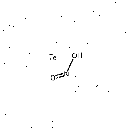 O=NO.[Fe]